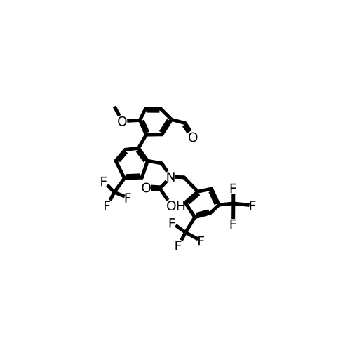 COc1ccc(C=O)cc1-c1ccc(C(F)(F)F)cc1CN(Cc1cc(C(F)(F)F)cc(C(F)(F)F)c1)C(=O)O